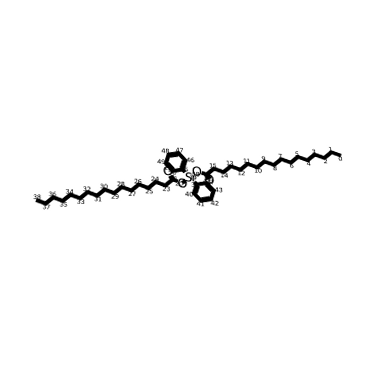 CCCCCCCCCCCCCCCCC(=O)O[Si](OC(=O)CCCCCCCCCCCCCCCC)(c1ccccc1)c1ccccc1